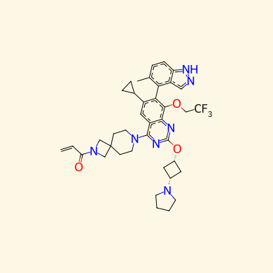 C=CC(=O)N1CC2(CCN(c3nc(O[C@H]4C[C@@H](N5CCCC5)C4)nc4c(OCC(F)(F)F)c(-c5c(C)ccc6[nH]ncc56)c(C5CC5)cc34)CC2)C1